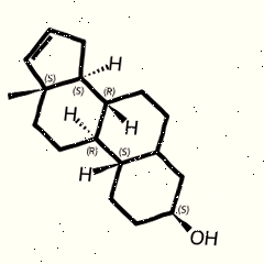 C[C@@]12C=CC[C@H]1[C@@H]1CCC3C[C@@H](O)CC[C@@H]3[C@H]1CC2